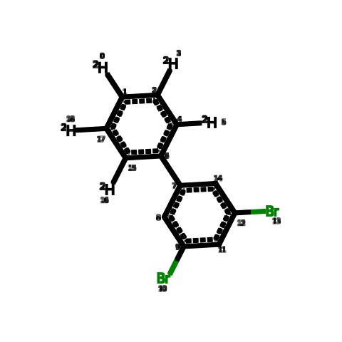 [2H]c1c([2H])c([2H])c(-c2cc(Br)cc(Br)c2)c([2H])c1[2H]